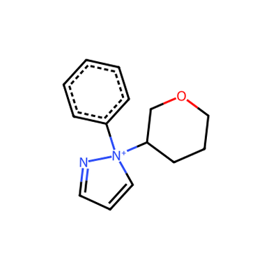 C1=C[N+](c2ccccc2)(C2CCCOC2)N=C1